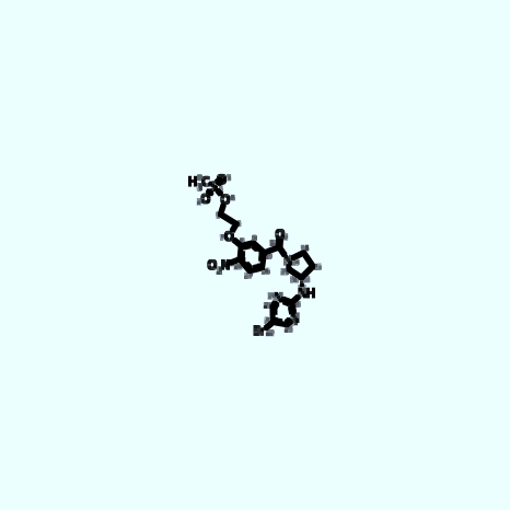 CS(=O)(=O)OCCOc1cc(C(=O)N2CC[C@H](Nc3ncc(Br)cn3)C2)ccc1[N+](=O)[O-]